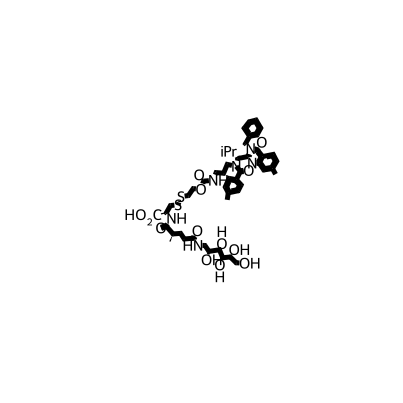 Cc1ccc(C(=O)N(CCCNC(=O)OCCSSC[C@H](NC(=O)[C@@H](C)CCC(=O)NC[C@H](O)[C@@H](O)[C@H](O)[C@H](O)CO)C(=O)O)C(c2nc3cc(C)ccc3c(=O)n2Cc2ccccc2)C(C)C)cc1